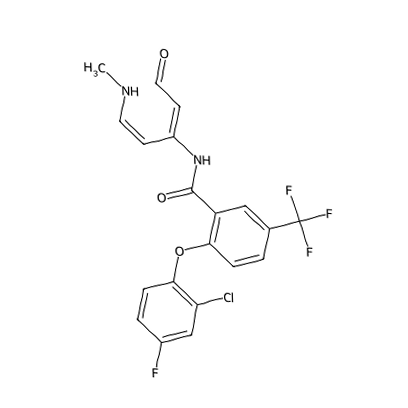 CN/C=C\C(=C/C=O)NC(=O)c1cc(C(F)(F)F)ccc1Oc1ccc(F)cc1Cl